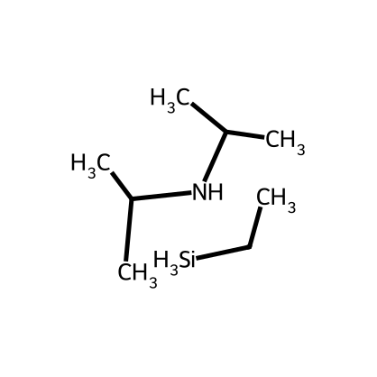 CC(C)NC(C)C.CC[SiH3]